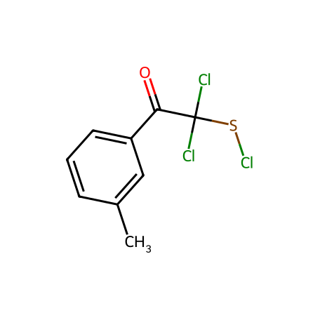 Cc1cccc(C(=O)C(Cl)(Cl)SCl)c1